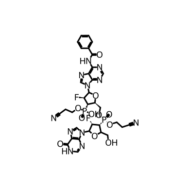 N#CCCOP(=O)(O)[C@@H]1[C@H](COP(=O)(OCCC#N)[C@@H]2C(CO)OC(n3cnc4c(=O)[nH]cnc43)[C@@H]2F)OC(n2cnc3c(NC(=O)c4ccccc4)ncnc32)[C@@H]1F